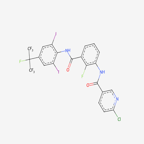 O=C(Nc1cccc(C(=O)Nc2c(I)cc(C(F)(C(F)(F)F)C(F)(F)F)cc2I)c1F)c1ccc(Cl)nc1